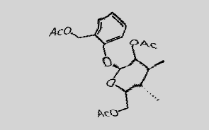 CC(=O)OCc1ccccc1O[C@@H]1OC(COC(C)=O)[C@@H](C)[C@H](C)C1OC(C)=O